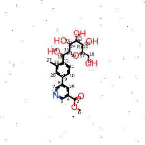 COC(=O)c1cncc(-c2ccc([C@@H](O)[C@H]3O[C@H](CO)[C@@H](O)[C@H](O)[C@@H]3O)c(C)c2)c1